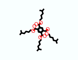 CC(C)CCCCOC(=O)c1cc(C(=O)OCCCCC(C)C)c(C(=O)OCCCCC(C)C)cc1C(=O)OCCCCC(C)C